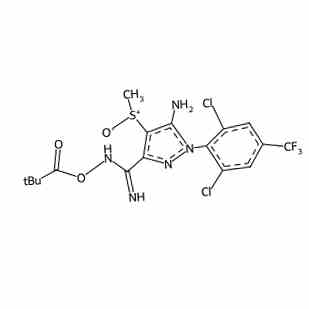 C[S+]([O-])c1c(C(=N)NOC(=O)C(C)(C)C)nn(-c2c(Cl)cc(C(F)(F)F)cc2Cl)c1N